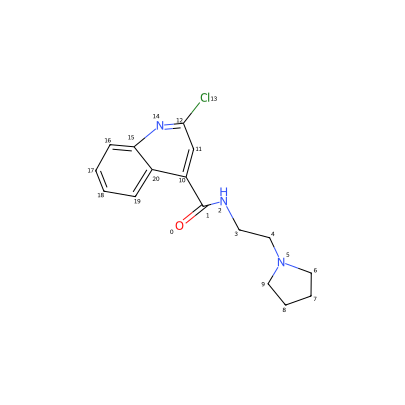 O=C(NCCN1CCCC1)c1cc(Cl)nc2ccccc12